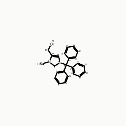 CCCCN1CN(C(c2ccccc2)(c2ccccc2)c2ccccc2)C=C1CO